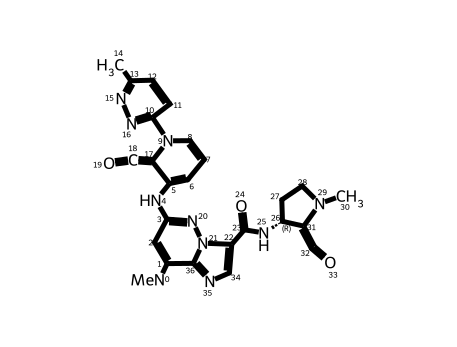 CNc1cc(NC2=CC=CN(c3ccc(C)nn3)C2=C=O)nn2c(C(=O)N[C@@H]3CCN(C)C3=C=O)cnc12